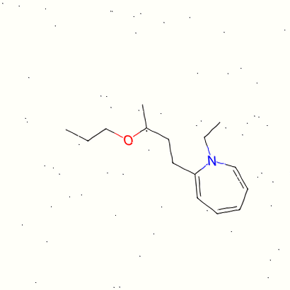 CCCO[C](C)CCC1=CC=CC=CN1CC